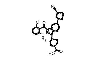 Cc1cccc(Cl)c1C(=O)n1nc(-c2ccc(C(=O)O)cc2)c2ccc(-c3cccc(C#N)c3)cc21